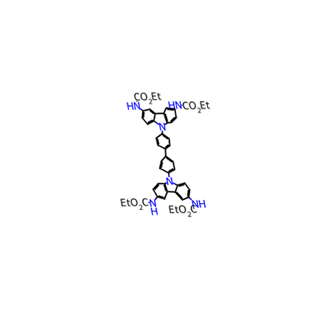 CCOC(=O)Nc1ccc2c(c1)c1cc(NC(=O)OCC)ccc1n2-c1ccc(-c2ccc(-n3c4ccc(NC(=O)OCC)cc4c4cc(NC(=O)OCC)ccc43)cc2)cc1